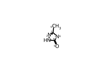 CC1=NNC(=O)[N]1